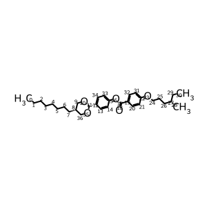 CCCCCCCC[C@H]1CO[C@H](c2ccc(OC(=O)c3ccc(OCCC[C@@H](C)CC)cc3)cc2)OC1